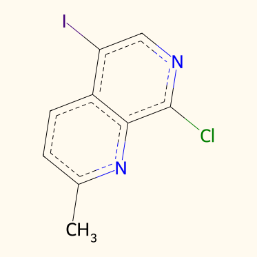 Cc1ccc2c(I)cnc(Cl)c2n1